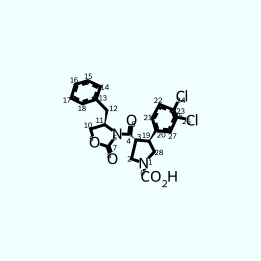 O=C(O)N1C[C@H](C(=O)N2C(=O)OC[C@H]2Cc2ccccc2)[C@@H](c2ccc(Cl)c(Cl)c2)C1